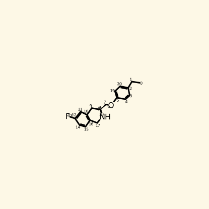 CCc1ccc(OC[C@@H]2Cc3cc(F)ccc3CN2)cc1